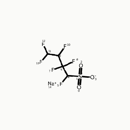 O=S(=O)([O-])C(F)C(F)(F)C(F)C(F)F.[Na+]